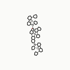 c1ccc(-c2cccc3c2oc2c(N(c4ccccc4)c4ccc5cc6c(cc5c4)C4(c5ccccc5-c5c4ccc4ccccc54)c4c-6ccc5cc(N(c6ccccc6)c6cccc7c6oc6c(-c8ccccc8)cccc67)ccc45)cccc23)cc1